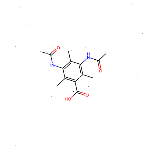 CC(=O)Nc1c(C)c(NC(C)=O)c(C)c(C(=O)O)c1C